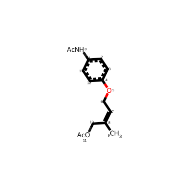 CC(=O)Nc1ccc(OCC=C(C)COC(C)=O)cc1